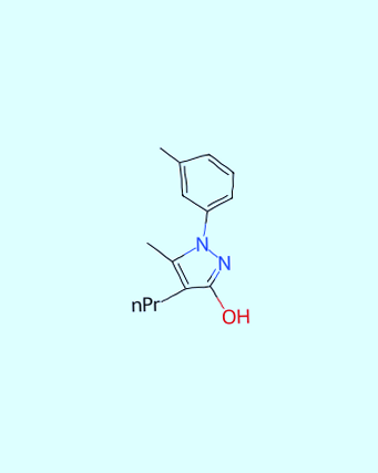 CCCc1c(O)nn(-c2cccc(C)c2)c1C